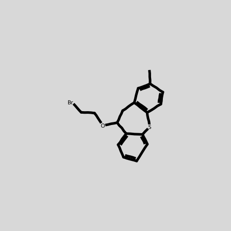 Cc1ccc2c(c1)CC(OCCBr)c1ccccc1S2